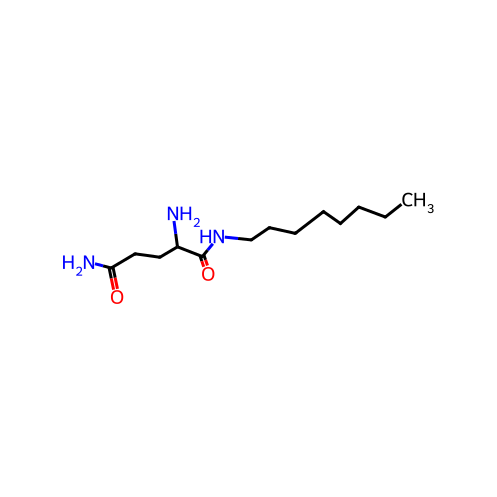 CCCCCCCCNC(=O)C(N)CCC(N)=O